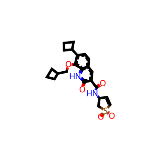 O=C(NC1C=CS(=O)(=O)C1)c1cc2ccc(C3CCC3)c(OCC3CCC3)c2[nH]c1=O